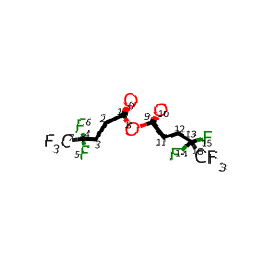 O=C(CCC(F)(F)C(F)(F)F)OC(=O)CCC(F)(F)C(F)(F)F